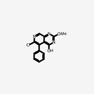 COc1nc(O)c2c(-c3ccccc3)c(Cl)ncc2n1